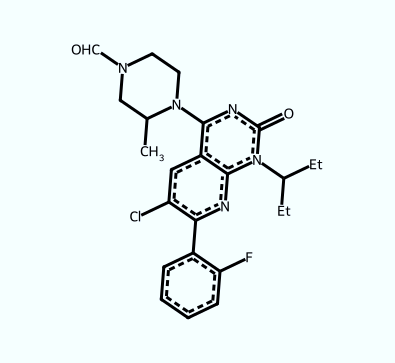 CCC(CC)n1c(=O)nc(N2CCN(C=O)CC2C)c2cc(Cl)c(-c3ccccc3F)nc21